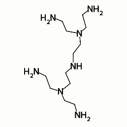 NCCN(CCN)CCNCCN(CCN)CCN